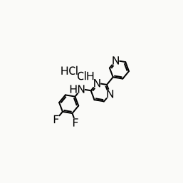 Cl.Cl.Fc1ccc(Nc2ccnc(-c3cccnc3)n2)cc1F